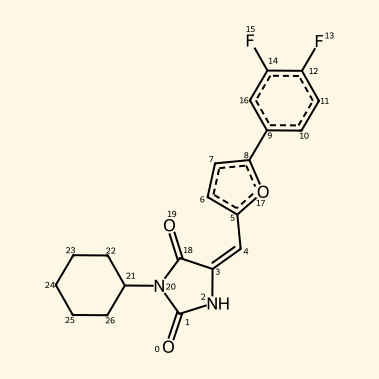 O=C1NC(=Cc2ccc(-c3ccc(F)c(F)c3)o2)C(=O)N1C1CCCCC1